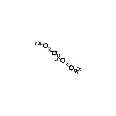 CCCCc1ccc(N=Nc2ccc(OC(=O)c3ccc(N=Nc4ccc(N(CC)CC)cc4)cc3)c(C)c2)cc1